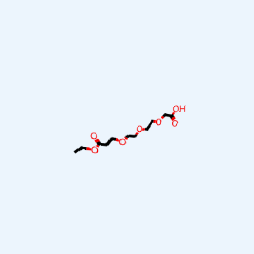 CCOC(=O)CCOCCOCCOCC(=O)O